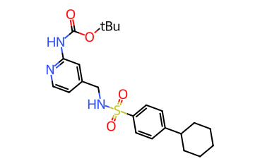 CC(C)(C)OC(=O)Nc1cc(CNS(=O)(=O)c2ccc(C3CCCCC3)cc2)ccn1